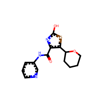 O=C(Nc1cccnc1)c1nc(O)sc1C1CCCCO1